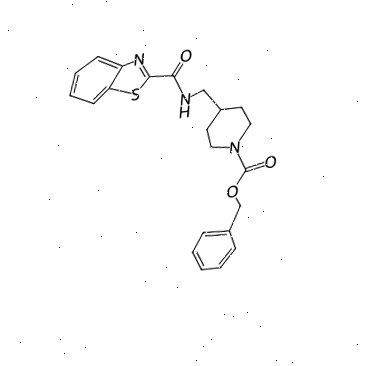 O=C(NCC1CCN(C(=O)OCc2ccccc2)CC1)c1nc2ccccc2s1